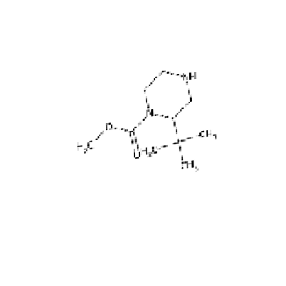 COC(=O)N1CCNCC1C(C)(C)C